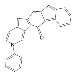 O=C1C2=c3ccccc3=CC2=Cc2cc3ccn(-c4ccccc4)cc-3c21